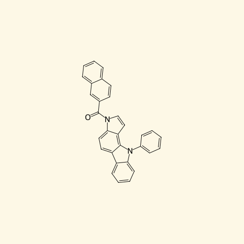 O=C(c1ccc2ccccc2c1)n1ccc2c1ccc1c3ccccc3n(-c3ccccc3)c12